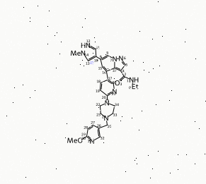 CCNC(=O)c1cnn2cc(/C(C=N)=C/NC)cc(-c3ccc(N4CCN(Cc5ccc(OC)nc5)CC4)nc3)c12